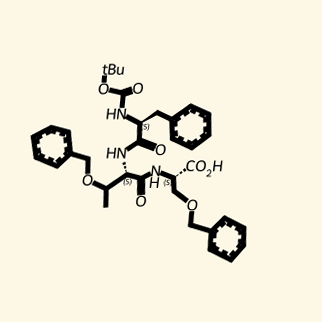 CC(OCc1ccccc1)[C@H](NC(=O)[C@H](Cc1ccccc1)NC(=O)OC(C)(C)C)C(=O)N[C@@H](COCc1ccccc1)C(=O)O